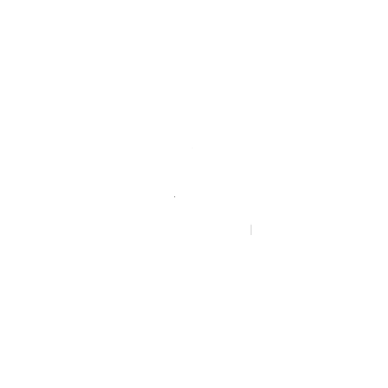 CCOC1Oc2ccc(C)cc2C1(C)C